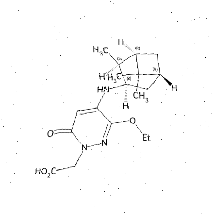 CCOc1nn(CC(=O)O)c(=O)cc1N[C@@H]1C[C@H]2C[C@H]([C@@H]1C)C2(C)C